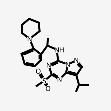 CC(C)c1cnn2c(NC(C)c3ccccc3N3CCCCC3)nc(S(C)(=O)=O)nc12